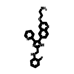 NCCOc1cnc2ccc(-c3[nH]c(CNc4ccccc4F)nc3-c3ccccn3)cc2c1